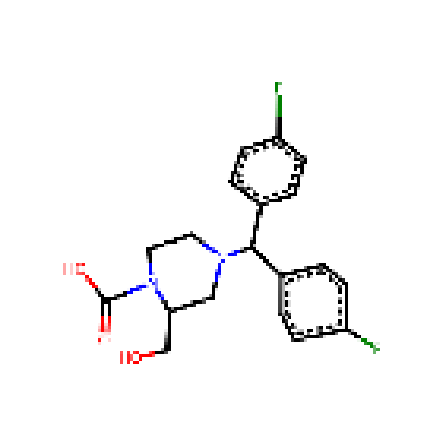 O=C(O)N1CCN(C(c2ccc(F)cc2)c2ccc(F)cc2)CC1CO